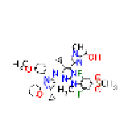 COc1ccc(CN(c2cc(C3CC3)n(C3CCCCO3)n2)c2nc(N(C)c3c(F)cc(S(C)(=O)=O)cc3F)nc(-c3cn(C)c(CO)n3)c2C2CC2)cc1